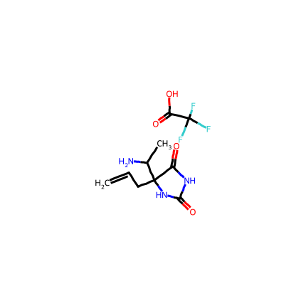 C=CCC1(C(C)N)NC(=O)NC1=O.O=C(O)C(F)(F)F